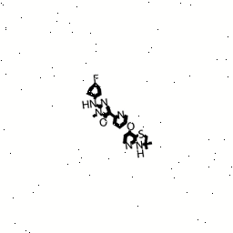 Cn1c(Nc2ccc(F)cc2)ncc(-c2ccc(Oc3ccnc4c3SCC(C)(C)N4)cn2)c1=O